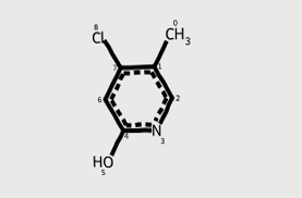 Cc1cnc(O)cc1Cl